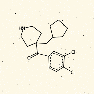 O=C(c1ccc(Cl)c(Cl)c1)C1(CC2CCCC2)CCNCC1